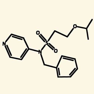 CC(C)OCCS(=O)(=O)N(Cc1ccccc1)c1ccncc1